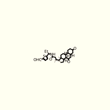 CC[C@@H](NC(=O)C[C@@H](C)[C@H]1CC[C@H]2[C@@H]3C(=O)C[C@@H]4CC(=O)CC[C@]4(C)[C@H]3CC[C@]12C)c1ccc(C=O)s1